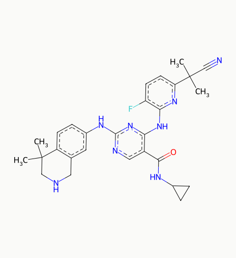 CC(C)(C#N)c1ccc(F)c(Nc2nc(Nc3ccc4c(c3)CNCC4(C)C)ncc2C(=O)NC2CC2)n1